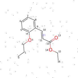 CCCOc1ccccc1/C=C/C(=O)OCC